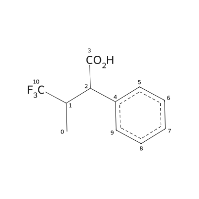 CC(C(C(=O)O)c1ccccc1)C(F)(F)F